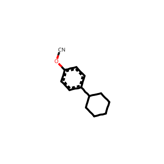 N#COc1ccc(C2CCCCC2)cc1